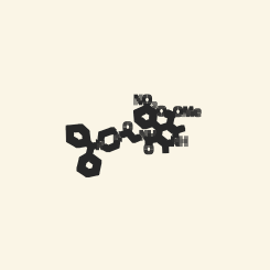 COC(=O)C1=C(C)NC(C)=C(C(=O)NCC(=O)N2CCN(C(c3ccccc3)c3ccccc3)CC2)C1c1cccc([N+](=O)[O-])c1